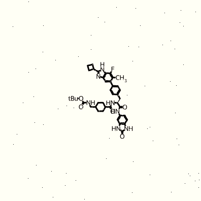 Cc1c(-c2ccc(C[C@H](NC(=O)C3CCC(CNC(=O)OC(C)(C)C)CC3)C(=O)Nc3ccc4[nH]c(=O)[nH]c4c3)cc2)cc2nc(C3CCC3)[nH]c2c1F